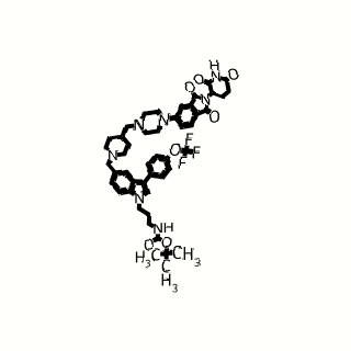 CC(C)(C)OC(=O)NCCCn1cc(-c2ccc(OC(F)(F)F)cc2)c2cc(CN3CCC(CN4CCN(c5ccc6c(c5)C(=O)N(C5CCC(=O)NC5=O)C6=O)CC4)CC3)ccc21